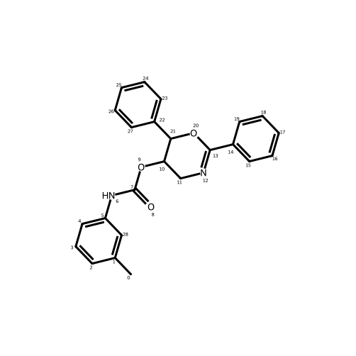 Cc1cccc(NC(=O)OC2CN=C(c3ccccc3)OC2c2ccccc2)c1